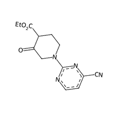 CCOC(=O)C1CCN(c2nccc(C#N)n2)CC1=O